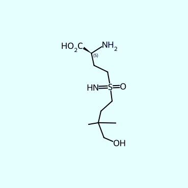 CC(C)(CO)CCS(=N)(=O)CC[C@H](N)C(=O)O